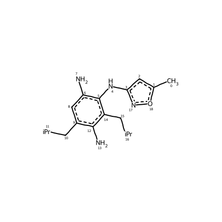 Cc1cc(Nc2c(N)cc(CC(C)C)c(N)c2CC(C)C)no1